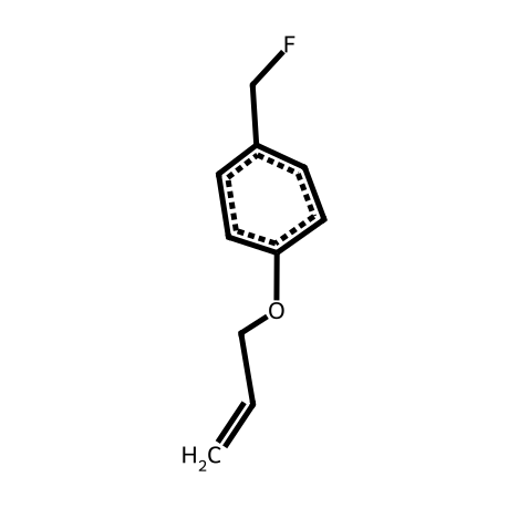 C=CCOc1ccc(CF)cc1